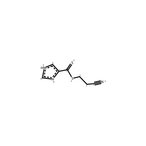 N#CCCSC(=S)c1c[nH]cn1